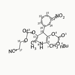 CCCCOC(=O)OC1=C(C)NC(C)=C(OC(=O)OCCC#N)C1c1cccc([N+](=O)[O-])c1